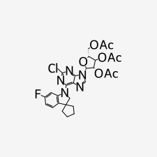 CC(=O)OC[C@H]1O[C@@H](n2cnc3c(N4CC5(CCCC5)c5ccc(F)cc54)nc(Cl)nc32)C(OC(C)=O)C1OC(C)=O